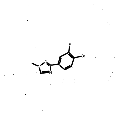 Cn1cnc(-c2ccc(Br)c(F)c2)n1